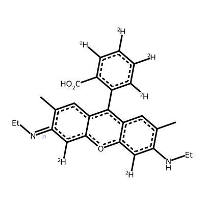 [2H]c1c([2H])c([2H])c(-c2c3cc(C)/c(=N\CC)c([2H])c-3oc3c([2H])c(NCC)c(C)cc23)c(C(=O)O)c1[2H]